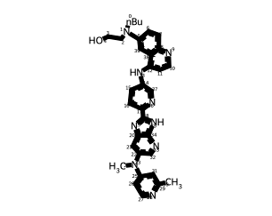 CCCCN(CCO)c1ccc2nccc(Nc3ccc(-c4nc5cc(N(C)c6ccnc(C)c6)cnc5[nH]4)nc3)c2c1